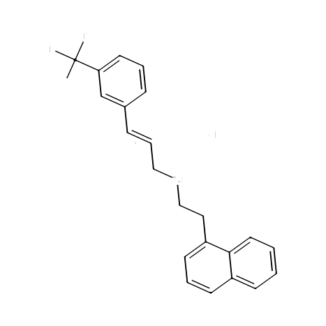 Cl.FC(F)(F)c1cccc(/C=C/CNCCc2cccc3ccccc23)c1